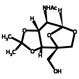 CC(=O)N[C@H]1[C@H]2OC[C@@](CO)(O2)[C@@H]2OC(C)(C)O[C@H]12